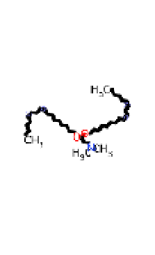 CCCCC/C=C\C/C=C\CCCCCCCCOC(CCN(C)C)OCCCCCCCC/C=C\C/C=C\CCCCC